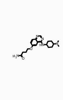 CN(C)C1CCC(Nc2ncnc3ccc(OCCCC(N)=O)cc23)CC1